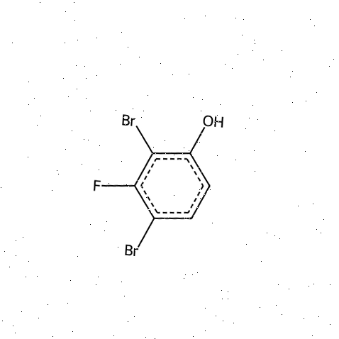 Oc1ccc(Br)c(F)c1Br